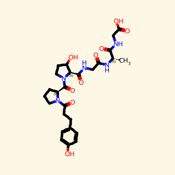 C[C@H](NC(=O)CNC(=O)[C@@H]1C(O)CCN1C(=O)[C@@H]1CCCN1C(=O)CCc1ccc(O)cc1)C(=O)NCC(=O)O